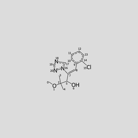 COC(C)(C)C(O)C(=Cc1ccccc1Cl)n1cncn1